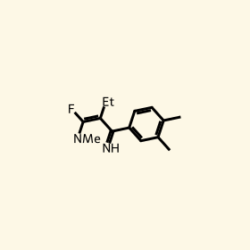 CC/C(C(=N)c1ccc(C)c(C)c1)=C(\F)NC